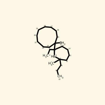 BC1(C2(CC)BC(C)(CCC)CCCC2)CCCCCCCCC1